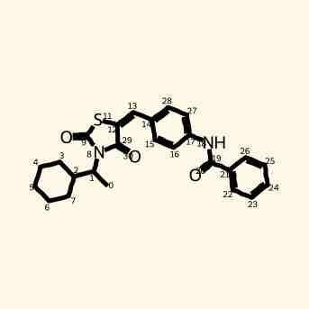 CC(C1CCCCC1)N1C(=O)SC(=Cc2ccc(NC(=O)c3ccccc3)cc2)C1=O